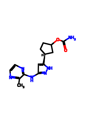 Cc1nccnc1Nc1cc([C@H]2CCC(OC(N)=O)C2)[nH]n1